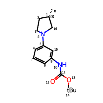 C[C@H]1CCN(c2cccc(NC(=O)OC(C)(C)C)c2)C1